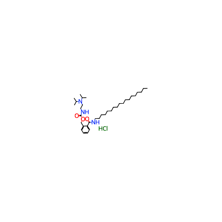 CCCCCCCCCCCCCCCCCCNC(=O)c1ccccc1COC(=O)NCCN(C(C)C)C(C)C.Cl